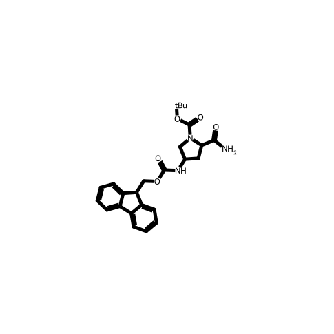 CC(C)(C)OC(=O)N1CC(NC(=O)OCC2c3ccccc3-c3ccccc32)CC1C(N)=O